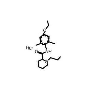 CCCN1CCCCC1C(=O)Nc1c(C)cc(OCC)cc1C.Cl